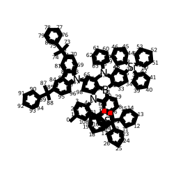 Cc1ccc(N2c3cc([Si](c4ccccc4)(c4ccccc4)c4ccccc4)ccc3B3c4ccc([Si](c5ccccc5)(c5ccccc5)c5ccccc5)cc4N(c4ccccc4)c4cc(-n5c6ccc(C(C)(C)c7ccccc7)cc6c6cc(C(C)(C)c7ccccc7)ccc65)cc2c43)c(-c2ccccc2)c1